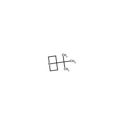 CC(C)(C)C12CCN1CC2